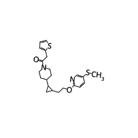 CSc1ccc(OCCC2CC2C2CCN(C(=O)Cc3cccs3)CC2)nc1